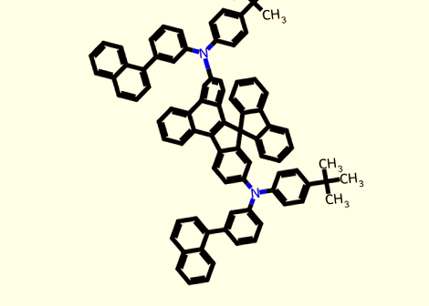 CC(C)(C)c1ccc(N(c2cccc(-c3cccc4ccccc34)c2)c2ccc3c(c2)C2(c4ccccc4-c4ccccc42)c2c-3c3ccccc3c3cc(N(c4ccc(C(C)(C)C)cc4)c4cccc(-c5cccc6ccccc56)c4)ccc23)cc1